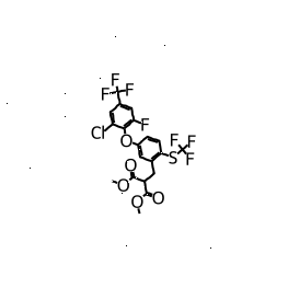 COC(=O)C(Cc1cc(Oc2c(F)cc(C(F)(F)F)cc2Cl)ccc1SC(F)(F)F)C(=O)OC